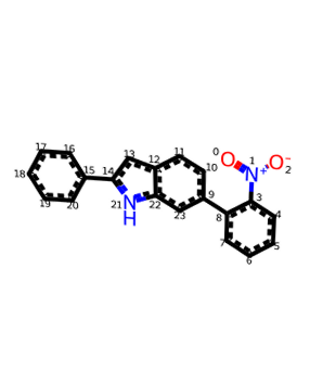 O=[N+]([O-])c1ccccc1-c1ccc2cc(-c3ccccc3)[nH]c2c1